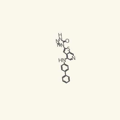 O=c1[nH]nnn1-c1cc2c(Nc3ccc(-c4ccccc4)cc3)cncc2s1